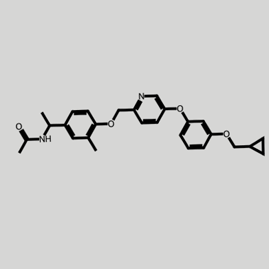 CC(=O)NC(C)c1ccc(OCc2ccc(Oc3cccc(OCC4CC4)c3)cn2)c(C)c1